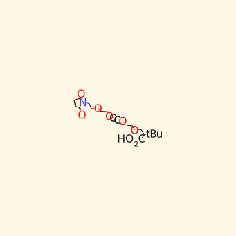 CC(C)(C)C(COCCOCCOCCOCCN1C(=O)C=CC1=O)C(=O)O